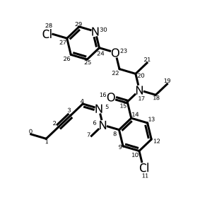 CCC#C/C=N\N(C)c1cc(Cl)ccc1C(=O)N(CC)C(C)COc1ccc(Cl)cn1